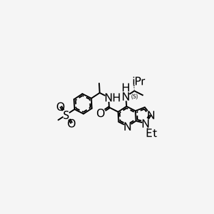 CCn1ncc2c(N[C@@H](C)C(C)C)c(C(=O)NC(C)c3ccc(S(C)(=O)=O)cc3)cnc21